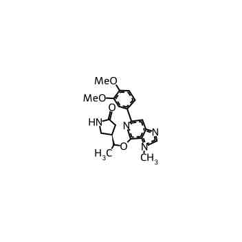 COc1ccc(-c2cc3ncn(C)c3c(OC(C)[C@H]3CNC(=O)C3)n2)cc1OC